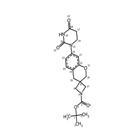 CC(C)(C)OC(=O)N1CC2(COc3cc(N4CCC(=O)NC4=O)ccc3C2)C1